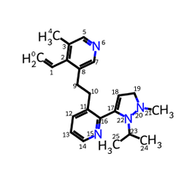 C=Cc1c(C)cncc1CCc1cccnc1C1=CCN(C)N1C(C)C